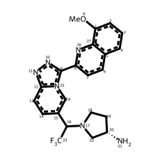 COc1cccc2ccc(-c3nnc4ccc(C(N5CC[C@H](N)C5)C(F)(F)F)cn34)nc12